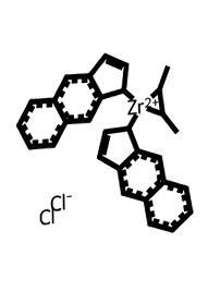 C[CH]1[CH](C)[Zr+2]1([CH]1C=Cc2cc3ccccc3cc21)[CH]1C=Cc2cc3ccccc3cc21.[Cl-].[Cl-]